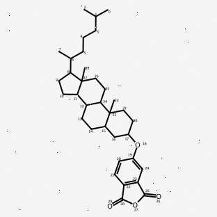 CC(C)CCCC(C)C1CCC2C3CCC4CC(Oc5ccc6c(c5)C(=O)OC6=O)CCC4(C)C3CCC12C